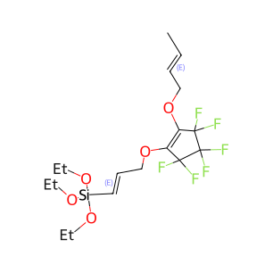 C/C=C/COC1=C(OC/C=C/[Si](OCC)(OCC)OCC)C(F)(F)C(F)(F)C1(F)F